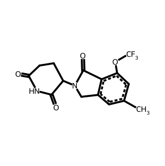 Cc1cc2c(c(OC(F)(F)F)c1)C(=O)N(C1CCC(=O)NC1=O)C2